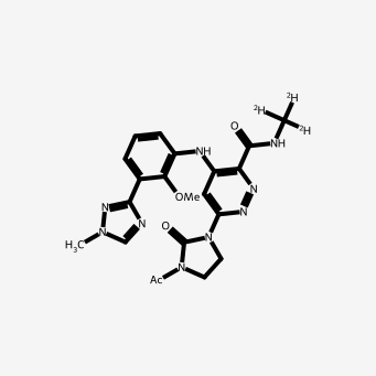 [2H]C([2H])([2H])NC(=O)c1nnc(N2CCN(C(C)=O)C2=O)cc1Nc1cccc(-c2ncn(C)n2)c1OC